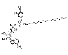 CCCCCCCCCCCCCCCCCCOC[C@H](COP(=O)(O)O[C@@H](C)[C@@]1(C)O[C@@H](c2ccc3c(N)ncnn23)[C@H](O)[C@@H]1O)OCc1ccc(C#N)c(OC)c1